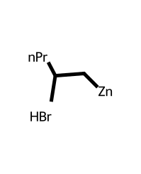 Br.CCCC(C)[CH2][Zn]